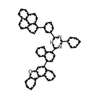 c1ccc(-c2nc(-c3cccc(-c4ccc5ccc6cccc7ccc4c5c67)c3)nc(-c3ccc(-c4cc5oc6ccccc6c5c5ccccc45)c4ccccc34)n2)cc1